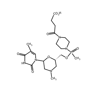 Cc1cn(C2CN(C)C[C@@H](COP(C)(=O)N3CCN(C(=O)CCC(=O)O)CC3)O2)c(=O)[nH]c1=O